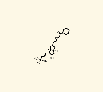 CCCC[C@](C)(O)C/C=C/[C@@H]1[C@H]2CC(CCNCC(=O)N3CCCCC3)=C[C@H]2C[C@H]1O